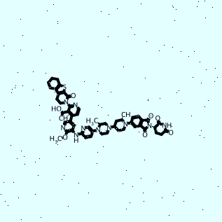 COc1ncc(-c2ccnc(N3CCc4c(sc5c4CCCC5)C3=O)c2C(C)O)cc1Nc1ccc(N2CCN(C3CCN(c4ccc5c(c4)C(=O)N([C@H]4CCC(=O)NC4=O)C5=O)[C@@H](C)C3)C[C@@H]2C)cn1